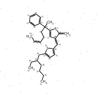 C=c1sc(C(C)(CC/C=C\C)c2ccccc2)c/c1=C\c1ccc(CC(CC)CCCC)s1